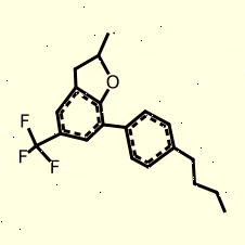 [CH2]C1Cc2cc(C(F)(F)F)cc(-c3ccc(CCCC)cc3)c2O1